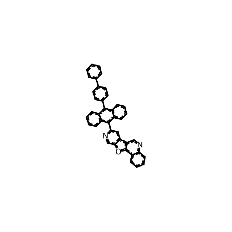 c1ccc(-c2ccc(-c3c4ccccc4c(-c4cc5c(cn4)oc4c6ccccc6ncc54)c4ccccc34)cc2)cc1